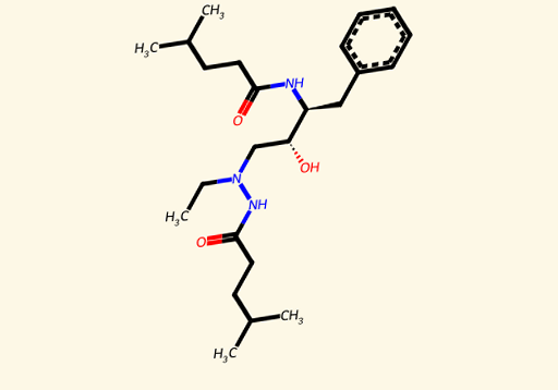 CCN(C[C@@H](O)[C@H](Cc1ccccc1)NC(=O)CCC(C)C)NC(=O)CCC(C)C